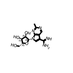 Cc1ncc2c(C(=N)N)cn([C@@H]3O[C@H](CO)[C@@H](O)[C@H]3O)c2n1